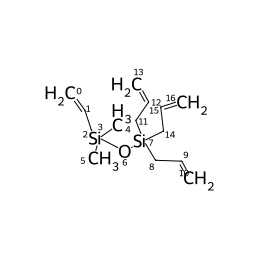 C=CC[Si](C)(C)O[Si](CC=C)(CC=C)CC=C